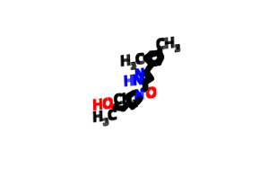 Cc1ccc(-c2cc(C(=O)N3CCC(CC(C)(C)O)CC3)[nH]n2)c(C)c1